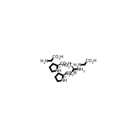 C[C@H](N)C(=O)O.NCC(=O)O.NCC(=O)O.O=C(O)[C@@H]1CCCN1.O=C(O)[C@@H]1CCCN1